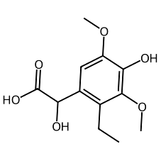 CCc1c(C(O)C(=O)O)cc(OC)c(O)c1OC